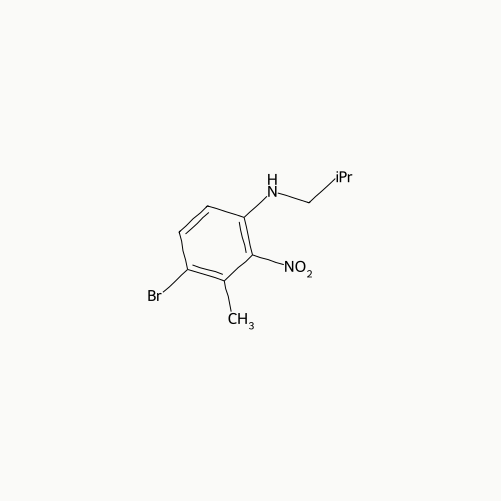 Cc1c(Br)ccc(NCC(C)C)c1[N+](=O)[O-]